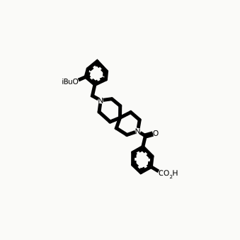 CC(C)COc1ccccc1CN1CCC2(CC1)CCN(C(=O)c1cccc(C(=O)O)c1)CC2